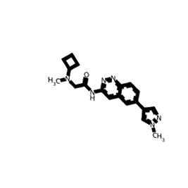 CN(CC(=O)Nc1cc2cc(-c3cnn(C)c3)ccc2nn1)C1CCC1